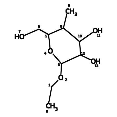 CCOC1OC(CO)C(C)C(O)C1O